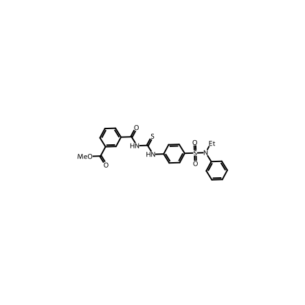 CCN(c1ccccc1)S(=O)(=O)c1ccc(NC(=S)NC(=O)c2cccc(C(=O)OC)c2)cc1